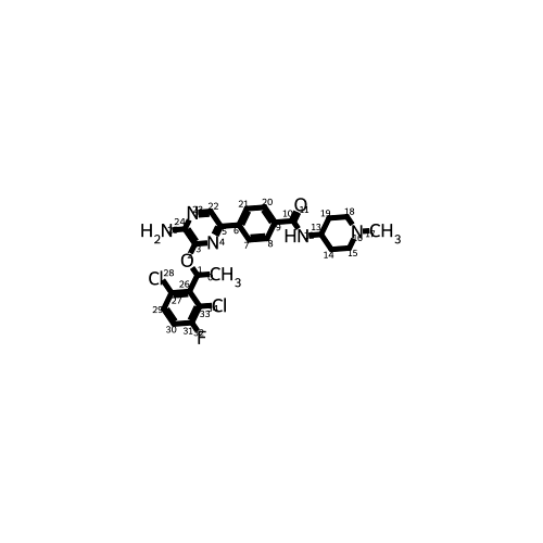 CC(Oc1nc(-c2ccc(C(=O)NC3CCN(C)CC3)cc2)cnc1N)c1c(Cl)ccc(F)c1Cl